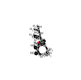 CNCCN(CCNC)CC(=O)NCCN(CC(=O)N[C@@H](CC(C)C)C(=O)N1CCCC1C(=O)N[C@H]1CSSC[C@@H](C)NC(=O)[C@H](C(C)O)N[C@H](O)CNC(=O)[C@H](Cc2ccc(O)cc2)NC(=O)[C@H](Cc2ccc(O)cc2)N[C@@H](O)[C@H](CC(=O)O)N[C@@H]1O)C(=O)Cn1cc(C)c(=O)[nH]c1=O